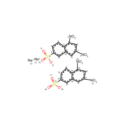 O=[N+]([O-])c1cc([N+](=O)[O-])c2ccc(S(=O)(=O)[O-])cc2c1.O=[N+]([O-])c1cc([N+](=O)[O-])c2ccc(S(=O)(=O)[O-])cc2c1.[Na+].[Na+]